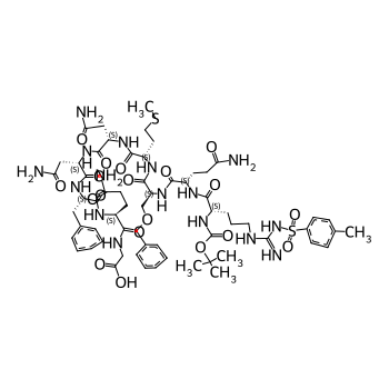 CSCC[C@H](NC(=O)[C@H](COCc1ccccc1)NC(=O)[C@H](CCC(N)=O)NC(=O)[C@H](CCCNC(=N)NS(=O)(=O)c1ccc(C)cc1)NC(=O)OC(C)(C)C)C(=O)N[C@@H](CC(N)=O)C(=O)N[C@@H](CC(N)=O)C(=O)N[C@@H](Cc1ccccc1)C(=O)N[C@@H](CCC(N)=O)C(=O)NCC(=O)O